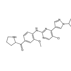 COc1cc(C(=O)C2CCCN2)ccc1Nc1ncc(Cl)c(-c2cnn(C(C)C)c2)n1